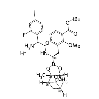 COc1c(C[C@H](NC(=O)C(N)c2ccc(I)cc2F)B2O[C@@H]3C[C@@H]4C[C@@H](C4(C)C)[C@]3(C)O2)cccc1C(=O)OC(C)(C)C.[H+]